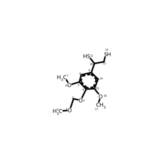 COCOc1c(OC)cc(C(S)CS)cc1OC